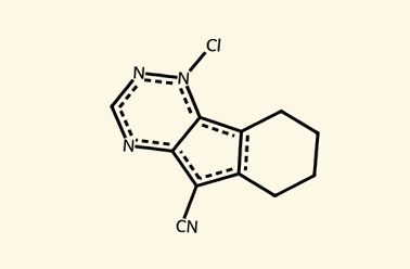 N#Cc1c2ncnn(Cl)c-2c2c1CCCC2